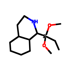 CC[Si](OC)(OC)C1NCCC2CCCCC21